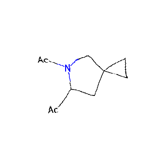 CC(=O)C1CC2(CC2)CN1C(C)=O